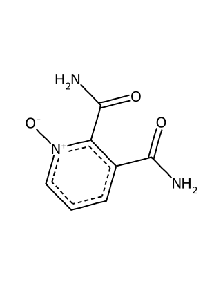 NC(=O)c1ccc[n+]([O-])c1C(N)=O